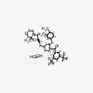 Cc1ccc(C[C@@H]2CN(CC#CCN3CCOCC3(C)C)CCN2C(=O)c2cc(C(F)(F)F)cc(C(F)(F)F)c2)cc1C.Cl.Cl